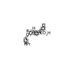 CCCN1CCN(CCOc2ccc(Nc3nccc(N(Cc4cccc(Cl)c4)C(=O)O)n3)cc2F)CC1